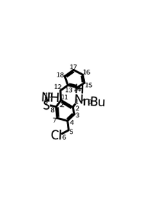 CCCCNc1cc(CCl)cc(SN)c1Cc1ccccc1